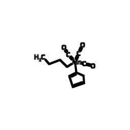 CCC[CH2][Mn](=[C]=O)(=[C]=O)(=[C]=O)[C]1=CC=CC1